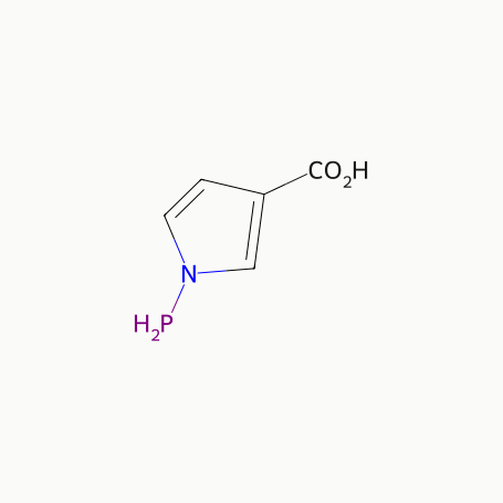 O=C(O)c1ccn(P)c1